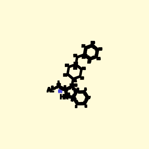 CC(=O)/N=c1\[nH]c2ccccc2n1C1CCN(Cc2ccccc2)CC1